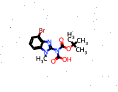 Cn1c(N(C(=O)O)C(=O)OC(C)(C)C)nc2c(Br)cccc21